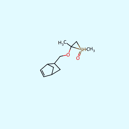 CC1(OCC2CC3C=CC2C3)C[SH]1(C)=O